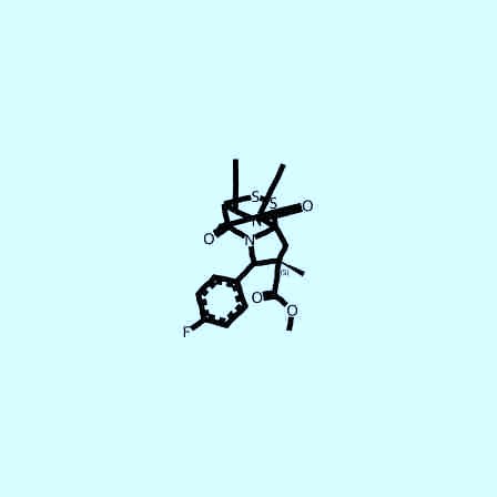 COC(=O)[C@@]1(C)CC23SSC(C(=O)N2C1c1ccc(F)cc1)C(C)N(C)C3=O